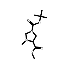 COC(=O)C1CN(C(=O)OC(C)(C)C)CN1C